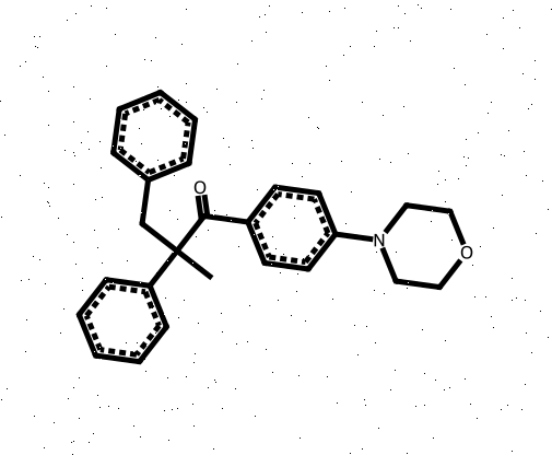 CC(Cc1ccccc1)(C(=O)c1ccc(N2CCOCC2)cc1)c1ccccc1